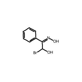 ON=C(c1ccccc1)C(O)Br